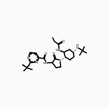 CCC(=O)NC1C[C@H](NC(C)(C)C)CC[C@@H]1N1CCC(NC(=O)c2ccnc(C(C)(C)C)n2)C1=O